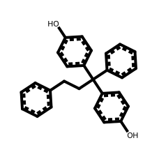 Oc1ccc(C(CCc2ccccc2)(c2ccccc2)c2ccc(O)cc2)cc1